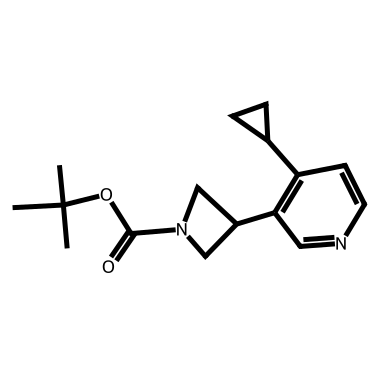 CC(C)(C)OC(=O)N1CC(c2cnccc2C2CC2)C1